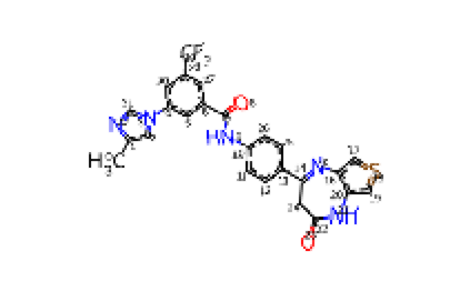 Cc1cn(-c2cc(C(=O)Nc3ccc(C4=Nc5cscc5NC(=O)C4)cc3)cc(C(F)(F)F)c2)cn1